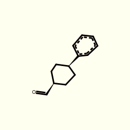 O=C[C@H]1CC[C@@H](c2ccccc2)CC1